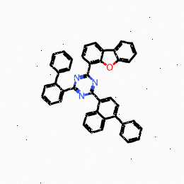 c1ccc(-c2ccccc2-c2nc(-c3ccc(-c4ccccc4)c4ccccc34)nc(-c3cccc4c3oc3ccccc34)n2)cc1